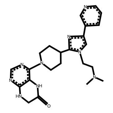 CN(C)CCn1cc(-c2cccnc2)nc1C1CCN(c2ncnc3c2NC(=O)CN3)CC1